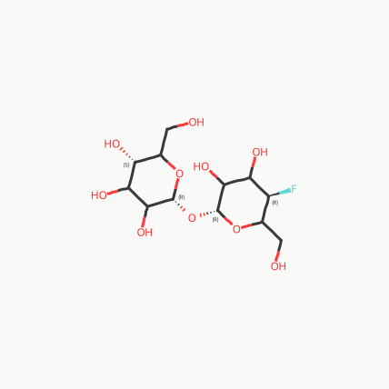 OCC1O[C@H](O[C@H]2OC(CO)[C@H](F)C(O)C2O)C(O)C(O)[C@@H]1O